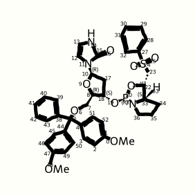 COc1ccc(C(OC[C@H]2O[C@@H](n3cc[nH]c3=O)C[C@@H]2O[P@@]2O[C@H](CS(=O)(=O)c3ccccc3)[C@@H]3CCCN32)(c2ccccc2)c2ccc(OC)cc2)cc1